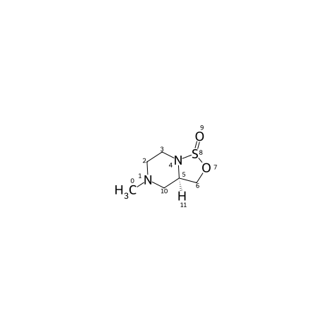 CN1CCN2[C@@H](COS2=O)C1